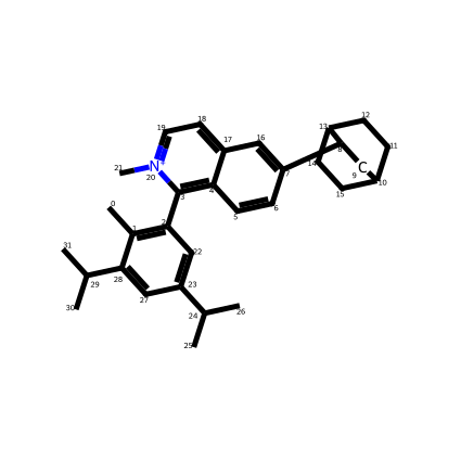 Cc1c(-c2c3ccc(C4CC5CCC4CC5)cc3cc[n+]2C)cc(C(C)C)cc1C(C)C